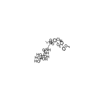 CC(C)CN(CCCCNC(=O)NC[C@H](O)[C@@H](O)[C@H](O)[C@H](O)CO)S(=O)(=O)c1ccc(Cl)c(COC2(c3cnccc3-c3ccccc3OC3CC3)CC2)c1